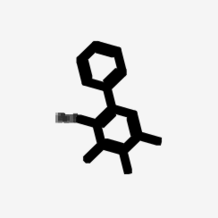 CCCC(C)c1c(-c2ccccc2)cc(C)c(C)c1C